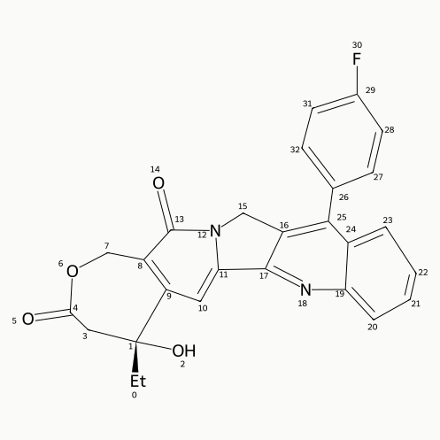 CC[C@@]1(O)CC(=O)OCc2c1cc1n(c2=O)Cc2c-1nc1ccccc1c2-c1ccc(F)cc1